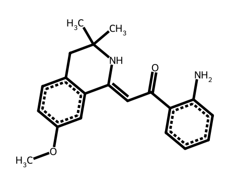 COc1ccc2c(c1)C(=CC(=O)c1ccccc1N)NC(C)(C)C2